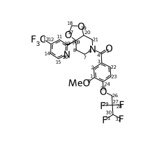 COc1cc(C(=O)N2CC[C@]3(c4cc(C(F)(F)F)ccn4)OCOC3C2)ccc1OCC(F)(F)C(F)F